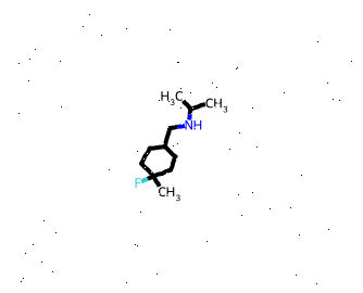 CC(C)NCC1CCC(C)(F)CC1